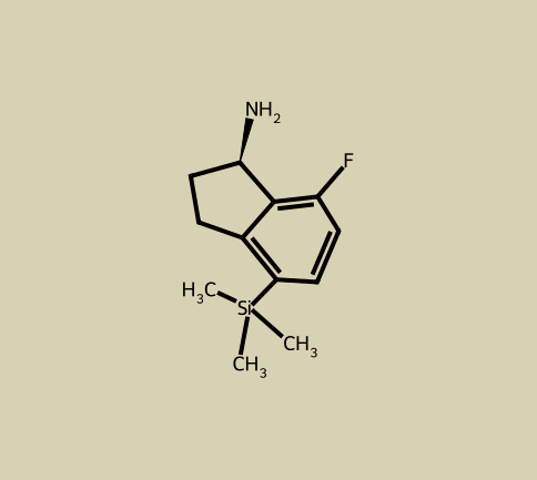 C[Si](C)(C)c1ccc(F)c2c1CC[C@H]2N